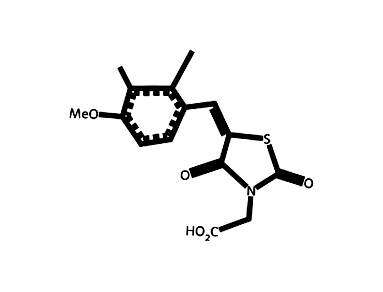 COc1ccc(C=C2SC(=O)N(CC(=O)O)C2=O)c(C)c1C